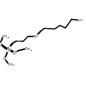 CO[Si](CCCOCCCCCO)(OC)OC